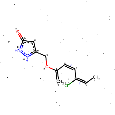 C=C(/C=C\C(Cl)=C/C)OCc1cc(=O)[nH][nH]1